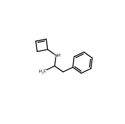 CC(Cc1ccccc1)NC1C=CC1